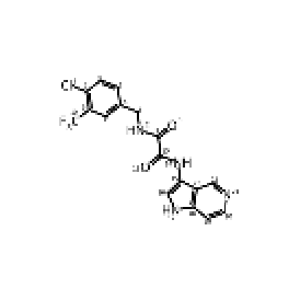 O=C(NCc1ccc(Cl)c(C(F)(F)F)c1)C(=O)Nc1c[nH]c2ccncc12